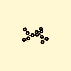 c1ccc(-c2ccc(N(c3ccc(-c4ccc5c6c(cccc46)-c4c(ccc6ccccc46)N5c4ccc(N(c5ccccc5)c5ccccc5)cc4)cc3)c3ccc4sc5ccccc5c4c3)cc2)cc1